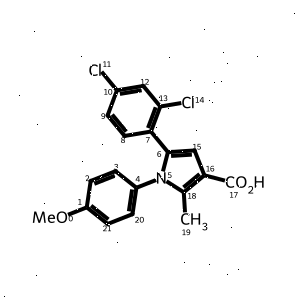 COc1ccc(-n2c(-c3ccc(Cl)cc3Cl)cc(C(=O)O)c2C)cc1